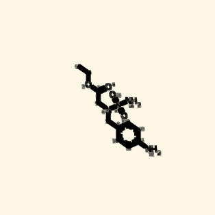 CCOC(=O)CN(Cc1ccc(N)cc1)S(N)(=O)=O